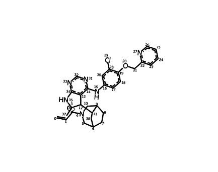 C=CC(=O)N1CC2CCC(C1)C(C1c3c(Nc4ccc(OCc5ccccn5)c(Cl)c4)ncnc3NC1C)C2